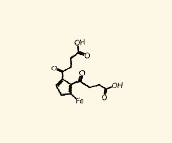 O=C(O)CCC(=O)C1=CC[C]([Fe])=C1C(=O)CCC(=O)O